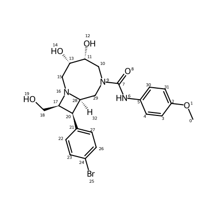 COc1ccc(NC(=O)N2C[C@@H](O)[C@@H](O)CN3[C@H](CO)[C@H](c4ccc(Br)cc4)[C@@H]3C2)cc1